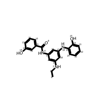 CCNc1cc(NC(=O)c2cccc(O)c2)cc(Nc2ccccc2O)c1